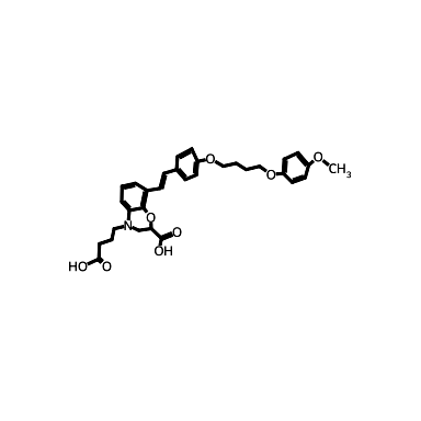 COc1ccc(OCCCCOc2ccc(C=Cc3cccc4c3OC(C(=O)O)CN4CCCC(=O)O)cc2)cc1